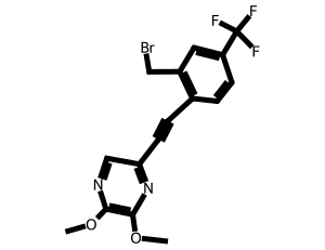 COc1ncc(C#Cc2ccc(C(F)(F)F)cc2CBr)nc1OC